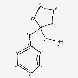 OCC1(Cc2ccccc2)CCCC1